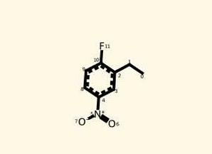 CCc1cc([N+](=O)[O-])ccc1F